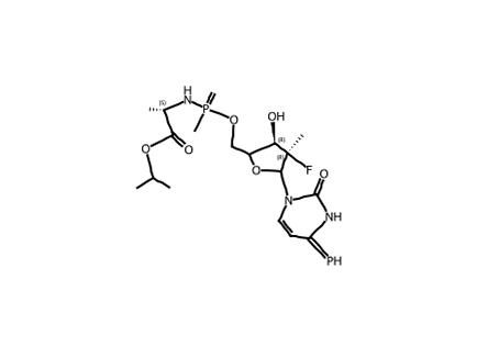 C=P(C)(N[C@@H](C)C(=O)OC(C)C)OCC1OC(n2ccc(=P)[nH]c2=O)[C@](C)(F)[C@@H]1O